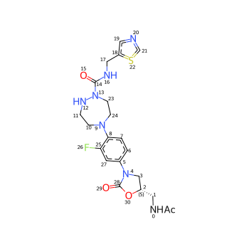 CC(=O)NC[C@H]1CN(c2ccc(N3CCNN(C(=O)NCc4cncs4)CC3)c(F)c2)C(=O)O1